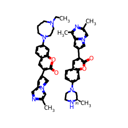 CCN1CCCN(c2ccc3cc(-c4cc5cnc(C)cn5c4)c(=O)oc3c2)CC1.Cc1cn2cc(-c3cc4ccc(N5CCN[C@H](C)C5)cc4oc3=O)cc2c(C)n1